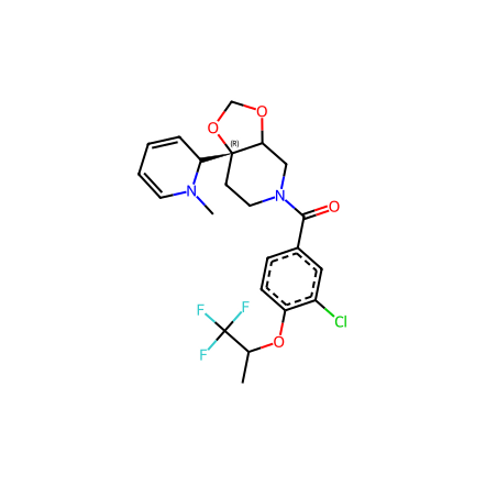 CC(Oc1ccc(C(=O)N2CC[C@]3(C4C=CC=CN4C)OCOC3C2)cc1Cl)C(F)(F)F